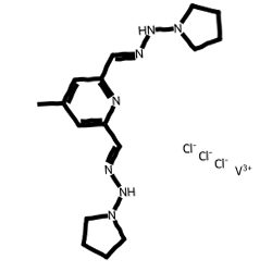 Cc1cc(C=NNN2CCCC2)nc(C=NNN2CCCC2)c1.[Cl-].[Cl-].[Cl-].[V+3]